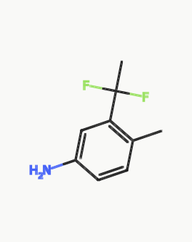 Cc1ccc(N)cc1C(C)(F)F